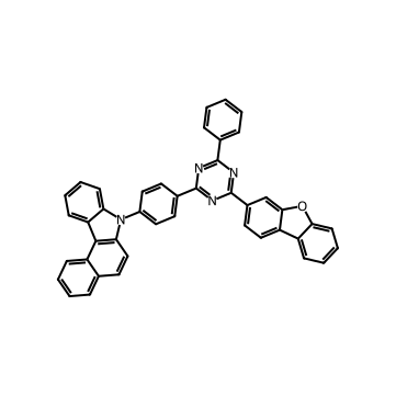 c1ccc(-c2nc(-c3ccc(-n4c5ccccc5c5c6ccccc6ccc54)cc3)nc(-c3ccc4c(c3)oc3ccccc34)n2)cc1